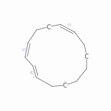 [C]1=C/C=C\CC/C=C\CCCCCC/1